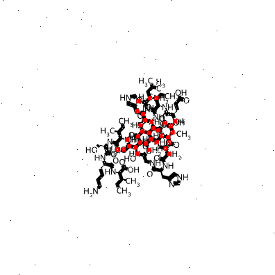 CC[C@H](C)[C@H](NC(=O)[C@H](CCCCN)NC(=O)[C@H](CO)NC(=O)[C@@H](NC(=O)[C@H](CO)NC(=O)[C@H](CC(N)=O)NC(=O)[C@H](CCCCN)NC(=O)[C@@H](NC(=O)[C@H](CCC(=O)O)NC(=O)[C@H](C)NC(=O)[C@H](CC(N)=O)NC(=O)[C@H](CCC(N)=O)NC(=O)[C@@H](NC(=O)CNC(=O)[C@H](Cc1c[nH]cn1)NC(=O)CNC(=O)[C@H](CC(=O)O)NC(=O)CNC(=O)[C@H](Cc1c[nH]cn1)NC(=O)[C@@H](N)CC(C)C)[C@@H](C)CC)[C@@H](C)CC)[C@@H](C)CC)C(=O)O